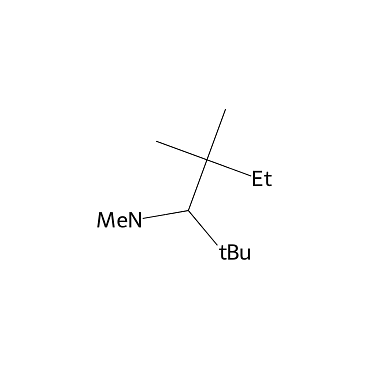 CCC(C)(C)C(NC)C(C)(C)C